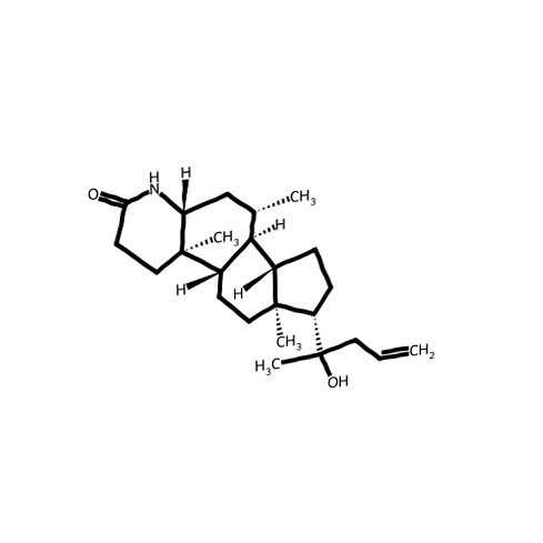 C=CCC(C)(O)[C@H]1CC[C@H]2[C@@H]3[C@@H](C)C[C@H]4NC(=O)CC[C@]4(C)[C@H]3CC[C@]12C